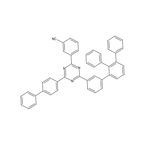 N#Cc1cccc(-c2nc(-c3ccc(-c4ccccc4)cc3)nc(-c3cccc(-c4cccc(-c5ccccc5)c4-c4ccccc4)c3)n2)c1